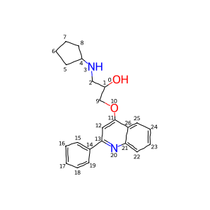 OC(CNC1CCCC1)COc1cc(-c2ccccc2)nc2ccccc12